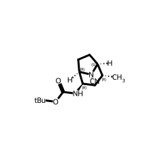 C[C@@H]1C[C@@H](NC(=O)OC(C)(C)C)[C@H]2CC[C@@H]1N2C#N